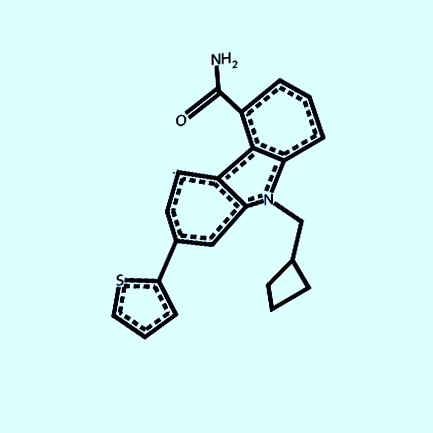 NC(=O)c1cccc2c1c1[c]cc(-c3cccs3)cc1n2CC1CCC1